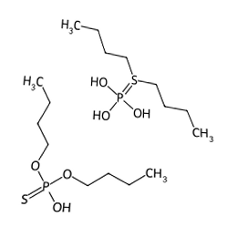 CCCCOP(O)(=S)OCCCC.CCCCS(CCCC)=P(O)(O)O